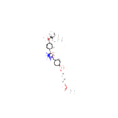 COCCCCCCOc1ccc(-c2nnc(-c3ccc(C(=O)C(C)C)cc3)s2)cc1